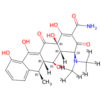 [2H]C([2H])([2H])N([C@@H]1C(=O)C(C(N)=O)=C(O)[C@@]2(O)C(=O)C3=C(O)c4c(O)cccc4[C@H](C)[C@H]3[C@H](O)[C@@H]12)C([2H])([2H])[2H]